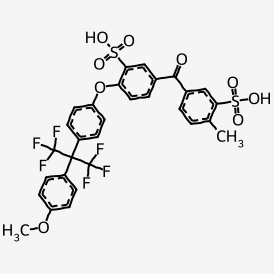 COc1ccc(C(c2ccc(Oc3ccc(C(=O)c4ccc(C)c(S(=O)(=O)O)c4)cc3S(=O)(=O)O)cc2)(C(F)(F)F)C(F)(F)F)cc1